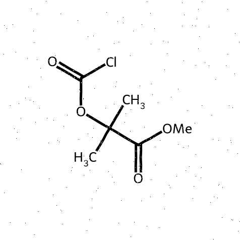 COC(=O)C(C)(C)OC(=O)Cl